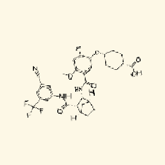 COc1cc(F)c(O[C@H]2CC[C@@H](C(=O)O)CC2)cc1C(=O)N[C@@H]1[C@H]2CC[C@H](C2)[C@@H]1C(=O)Nc1cc(C#N)cc(C(F)(F)F)c1